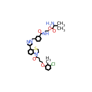 Cc1c(Cl)cccc1OCCCC(=O)N1CCSc2c(-c3cnn(Cc4cccc(C(=O)NCCOC(=O)[C@@H](N)C(C)C)c4)c3)cccc21